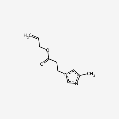 C=CCOC(=O)CCn1cnc(C)c1